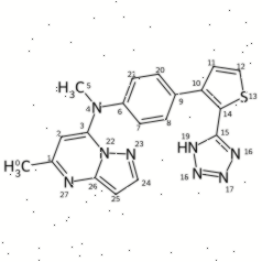 Cc1cc(N(C)c2ccc(-c3ccsc3-c3nnn[nH]3)cc2)n2nccc2n1